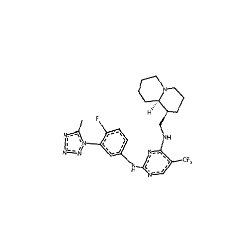 Cc1nnnn1-c1cc(Nc2ncc(C(F)(F)F)c(NC[C@@H]3CCCN4CCCC[C@H]34)n2)ccc1F